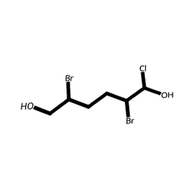 OCC(Br)CCC(Br)C(O)Cl